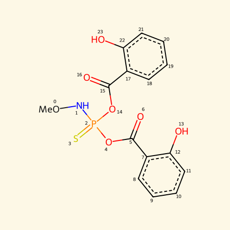 CONP(=S)(OC(=O)c1ccccc1O)OC(=O)c1ccccc1O